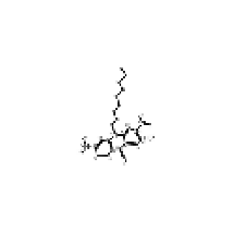 Br.CCCCCCCCCn1c2cc(N(C)C)ccc2c(=O)c2ccc(N(C)C)cc21